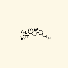 C[C@@H](O)[C@H]1C(=O)N2C(C(=O)O)=C(c3ccc4c(cnc5ccc(/C=N/O)cc54)c3)C[C@H]12